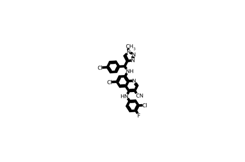 Cn1cc(C(Nc2cc(Cl)cc3c(Nc4ccc(F)c(Cl)c4)c(C#N)cnc23)c2ccc(Cl)cc2)nn1